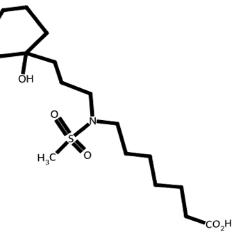 CS(=O)(=O)N(CCCCCCC(=O)O)CCCC1(O)CCCCC1